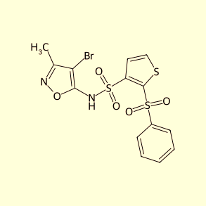 Cc1noc(NS(=O)(=O)c2ccsc2S(=O)(=O)c2ccccc2)c1Br